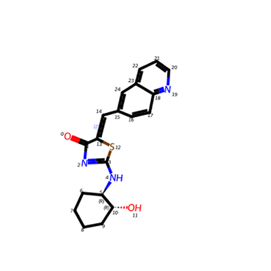 O=C1N=C(N[C@@H]2CCCC[C@H]2O)S/C1=C\c1ccc2ncccc2c1